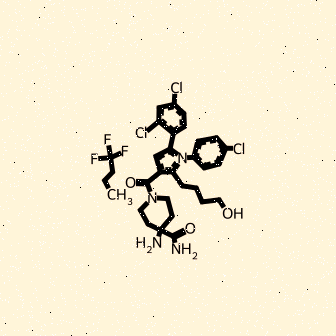 CCCC(F)(F)F.NC(=O)C1(N)CCN(C(=O)c2cc(-c3ccc(Cl)cc3Cl)n(-c3ccc(Cl)cc3)c2CCCCO)CC1